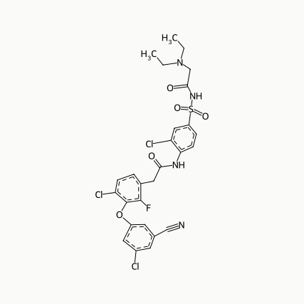 CCN(CC)CC(=O)NS(=O)(=O)c1ccc(NC(=O)Cc2ccc(Cl)c(Oc3cc(Cl)cc(C#N)c3)c2F)c(Cl)c1